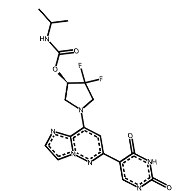 CC(C)NC(=O)O[C@@H]1CN(c2cc(-c3c[nH]c(=O)[nH]c3=O)nn3ccnc23)CC1(F)F